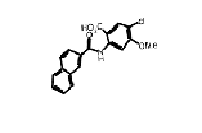 COc1cc(NC(=O)c2ccc3ccccc3c2)c(C(=O)O)cc1Cl